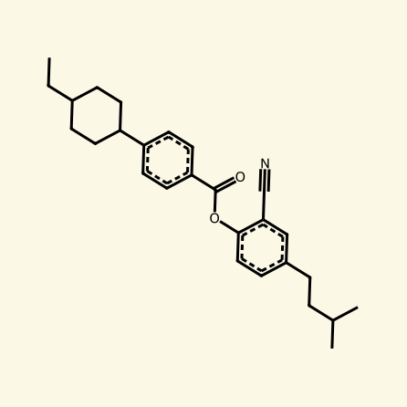 CCC1CCC(c2ccc(C(=O)Oc3ccc(CCC(C)C)cc3C#N)cc2)CC1